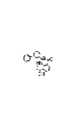 O=C(Nc1c(C(=O)O)cccc1C(=O)O)c1cccc(-c2ccccc2)c1